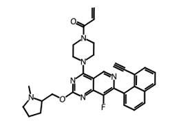 C#Cc1cccc2cccc(-c3ncc4c(N5CCN(C(=O)C=C)CC5)nc(OCC5CCCN5C)nc4c3F)c12